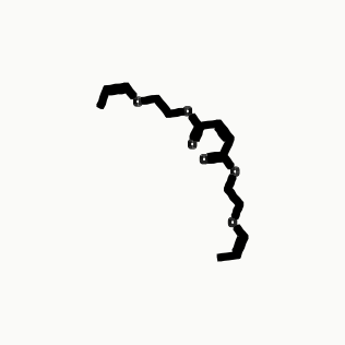 C/C=C\OCCOC(=O)/C=C\C(=O)OCCO/C=C\C